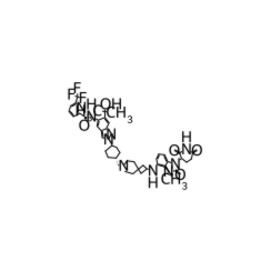 Cn1c(=O)n(C2CCC(=O)NC2=O)c2cccc(NC3CC4(CCN(C[C@H]5CC[C@H](n6cc7cc(NC(=O)c8cccc(C(F)(F)F)n8)c(C(C)(C)O)cc7n6)CC5)CC4)C3)c21